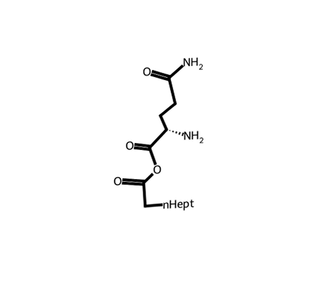 CCCCCCCCC(=O)OC(=O)[C@@H](N)CCC(N)=O